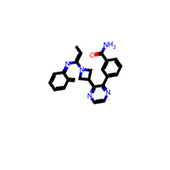 C=C1C=CC=C/C1=N/C(=C\C)N1CC(c2nccnc2-c2cccc(C(N)=O)c2)C1